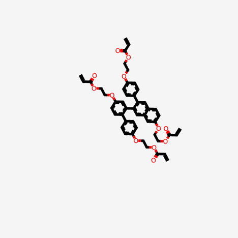 C=CC(=O)OCCOc1ccc(-c2ccc(OCCOC(=O)C=C)cc2-c2cc3cc(OCCOC(=O)C=C)ccc3cc2-c2ccc(OCCOC(=O)C=C)cc2)cc1